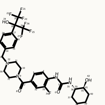 O=C(Nc1ccc(C(=O)N2CCN(Cc3ccc(C(O)(C(F)(F)F)C(F)(F)F)cc3)CC2)cc1F)N[C@H]1CCCC[C@@H]1O